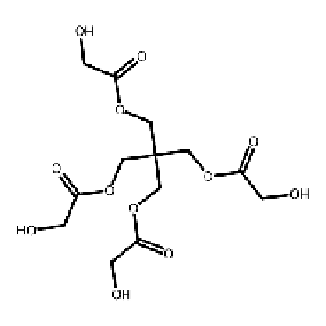 O=C(CO)OCC(COC(=O)CO)(COC(=O)CO)COC(=O)CO